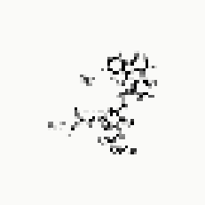 CCOC(=O)[C@@H](N)CCC(=O)N[C@@H](C[SH]=CC[P+](c1ccccc1)(c1ccccc1)c1ccccc1)C(=O)NCC(=O)OC.[Br-]